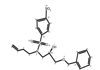 C=CCCN(C[C@@H](O)COCc1ccccc1)S(=O)(=O)c1ccc([N+](=O)[O-])cc1